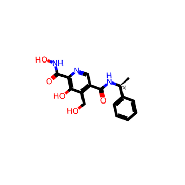 C[C@H](NC(=O)c1cnc(C(=O)NO)c(O)c1CO)c1ccccc1